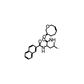 [CH2]C([CH2])CC(NC(=O)c1ccc2ccccc2c1)C(=O)N[C@H]1C/C=C\COCC1=O